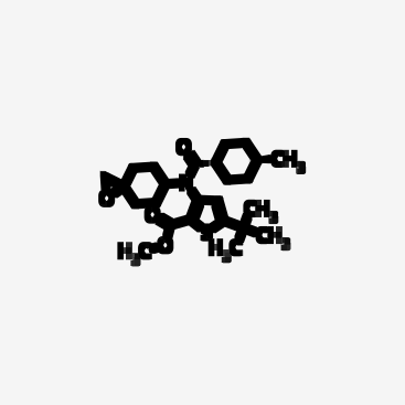 COC(=O)c1sc(C(C)(C)C)cc1N(C(=O)[C@H]1CC[C@H](C)CC1)C1CCC2(CC1)CO2